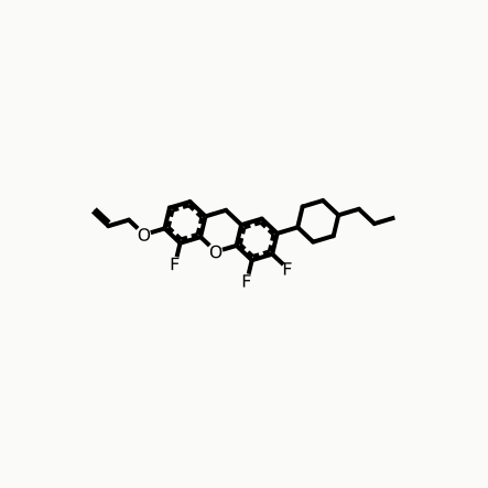 C=CCOc1ccc2c(c1F)Oc1c(cc(C3CCC(CCC)CC3)c(F)c1F)C2